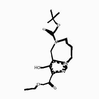 CCOC(=O)c1nn2c(c1O)CN(C(=O)OC(C)(C)C)CCC2